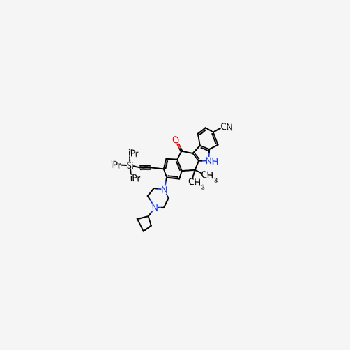 CC(C)[Si](C#Cc1cc2c(cc1N1CCN(C3CCC3)CC1)C(C)(C)c1[nH]c3cc(C#N)ccc3c1C2=O)(C(C)C)C(C)C